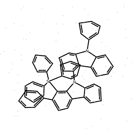 c1ccc(-c2ccc3c4ccccc4n(-c4cccc5c4c4ccccc4n5-c4ccccc4)c3c2[Si](c2ccccc2)(c2ccccc2)c2ccccc2)cc1